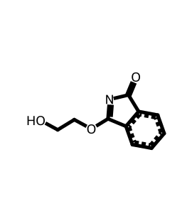 O=C1N=C(OCCO)c2ccccc21